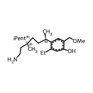 CCC[C@@H](C)[C@@](C)(CCN)CC[C@@H](C)c1cc(COC)c(O)cc1CC